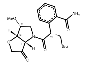 CO[C@@H]1CN(C(=O)[C@@H](CC(C)(C)C)c2ccccc2C(N)=O)[C@@H]2C(=O)CO[C@@H]21